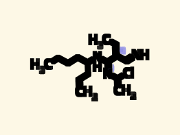 C=CCC(CCCC)NC(=N/C(=C)Cl)/C(C=N)=C\C